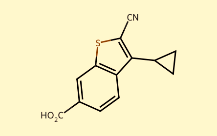 N#Cc1sc2cc(C(=O)O)ccc2c1C1CC1